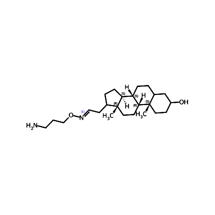 C[C@]12CCC(O)CC1CC[C@@H]1[C@H]2CC[C@]2(C)C(C/C=N/OCCCN)CC[C@@H]12